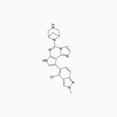 Cn1cc2c(Cl)c(-c3c[nH]c4nc(N5C6CNCC5C6)n5ccnc5c34)ccc2n1